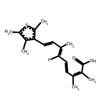 CC(C=Cc1c(C)sc(C)c1C)=C(F)C=CC(C)=C(C)C(=O)O